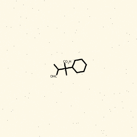 CC(C=O)C(C)(C(=O)O)C1CCCCC1